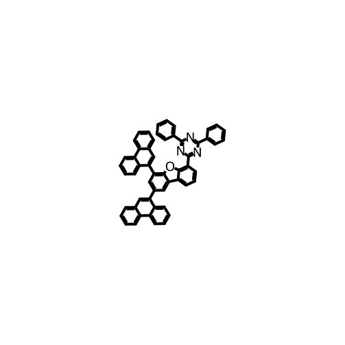 c1ccc(-c2nc(-c3ccccc3)nc(-c3cccc4c3oc3c(-c5cc6ccccc6c6ccccc56)cc(-c5cc6ccccc6c6ccccc56)cc34)n2)cc1